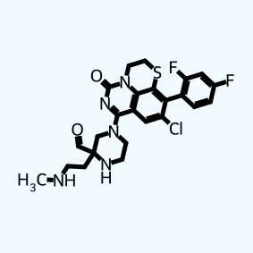 CNCCC1(C=O)CN(c2nc(=O)n3c4c(c(-c5ccc(F)cc5F)c(Cl)cc24)SCC3)CCN1